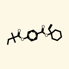 C=CC1(OC(=O)c2ccc(OC(=O)C(C)(C)CC)cc2)CCCCC1